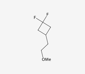 COCCC1CC(F)(F)C1